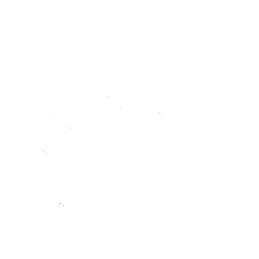 N#CC(CC1CCNC1=O)NC(=O)C(CC1CC1)NC(=O)c1cc2c(Cl)cc(Cl)cc2[nH]1